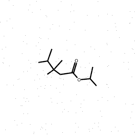 CC(C)OC(=O)CC(C)(C)C(C)C